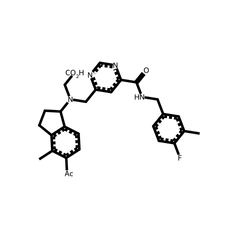 CC(=O)c1ccc2c(c1C)CCC2N(CC(=O)O)Cc1cc(C(=O)NCc2ccc(F)c(C)c2)ncn1